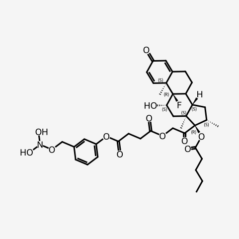 CCCCC(=O)O[C@]1(C(=O)COC(=O)CCC(=O)Oc2cccc(CON(O)O)c2)[C@@H](C)C[C@H]2C3CCC4=CC(=O)C=C[C@]4(C)[C@@]3(F)[C@@H](O)C[C@@]21C